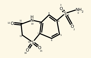 NS(=O)(=O)c1ccc2c(c1)NC(=O)CS2(=O)=O